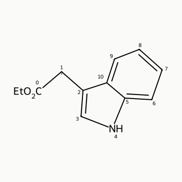 CCOC(=O)[CH]c1c[nH]c2ccccc12